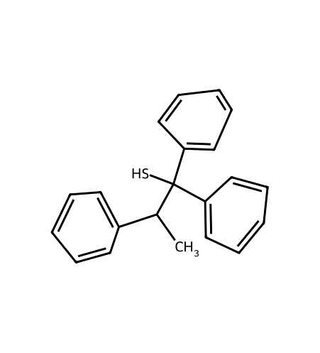 CC(c1ccccc1)C(S)(c1ccccc1)c1ccccc1